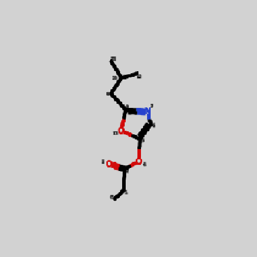 CCC(=O)Oc1cnc(CC(C)C)o1